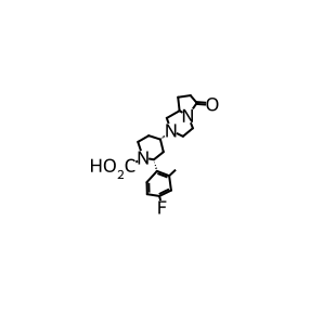 Cc1cc(F)ccc1[C@H]1C[C@@H](N2CCN3C(=O)CCC3C2)CCN1C(=O)O